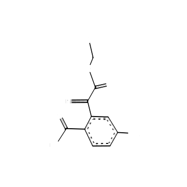 CCOC(=O)C(=N)c1cc(C)ccc1C(C)=O